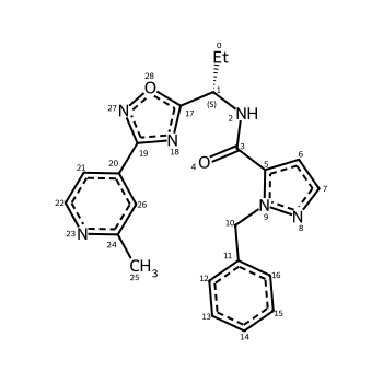 CC[C@H](NC(=O)c1ccnn1Cc1ccccc1)c1nc(-c2ccnc(C)c2)no1